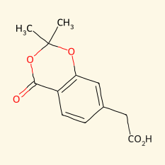 CC1(C)OC(=O)c2ccc(CC(=O)O)cc2O1